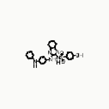 CBc1ccc(S(=O)(=O)Nc2nc3ccccc3nc2Nc2ccc(Nc3ccccc3)cc2)cc1